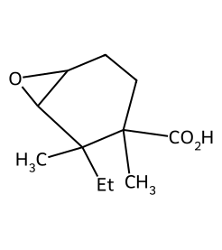 CCC1(C)C2OC2CCC1(C)C(=O)O